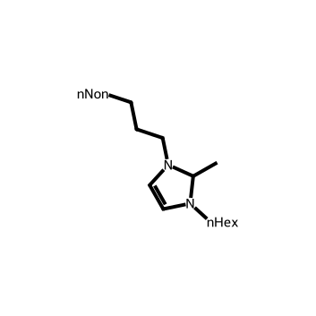 CCCCCCCCCCCCN1C=CN(CCCCCC)C1C